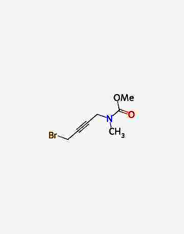 COC(=O)N(C)CC#CCBr